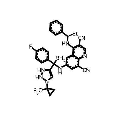 BC(Nc1cc(C#N)c2ncc(C#N)c(N[C@H](CC)c3ccccc3)c2c1)(C1=CN(C2(C(F)(F)F)CC2)NN1)c1ccc(F)cc1